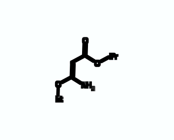 CCOC(N)=CC(=O)OC(C)C